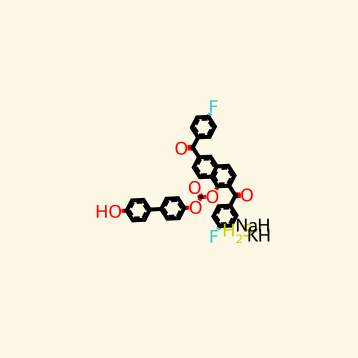 O=C(Oc1ccc(-c2ccc(O)cc2)cc1)Oc1c(C(=O)c2ccc(F)cc2)ccc2cc(C(=O)c3ccc(F)cc3)ccc12.S.[KH].[NaH]